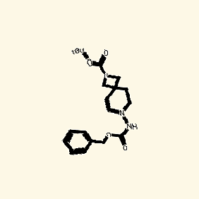 CC(C)(C)OC(=O)N1CC2(CCN(NC(=O)OCc3ccccc3)CC2)C1